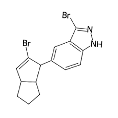 BrC1=CC2CCCC2C1c1ccc2[nH]nc(Br)c2c1